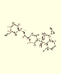 COC(=O)c1cccc(C)c1S(=O)(=O)c1ccc(C=Cc2cccc(F)c2)cc1